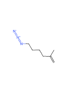 C=C(C)CCCCN=[N+]=[N-]